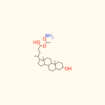 CC(ON)O[C@H](O)CCC(C)C1CCC2C3CCC4CC(O)CCC4(C)C3CCC12C